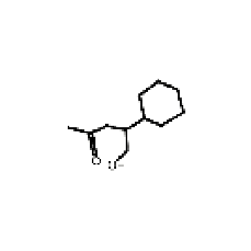 CC(=O)CC(CO)C1CCCCC1